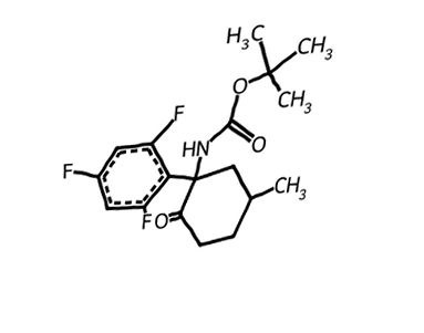 CC1CCC(=O)C(NC(=O)OC(C)(C)C)(c2c(F)cc(F)cc2F)C1